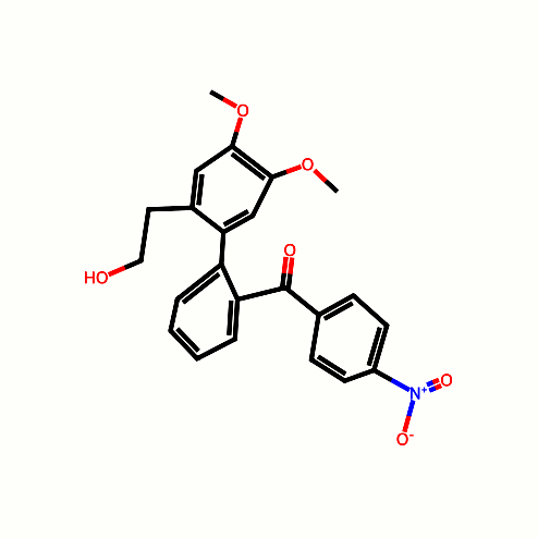 COc1cc(CCO)c(-c2ccccc2C(=O)c2ccc([N+](=O)[O-])cc2)cc1OC